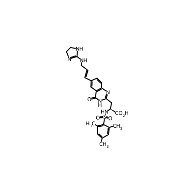 Cc1cc(C)c(S(=O)(=O)N[C@@H](Cc2nc3ccc(C=CCNC4=NCCN4)cc3c(=O)[nH]2)C(=O)O)c(C)c1